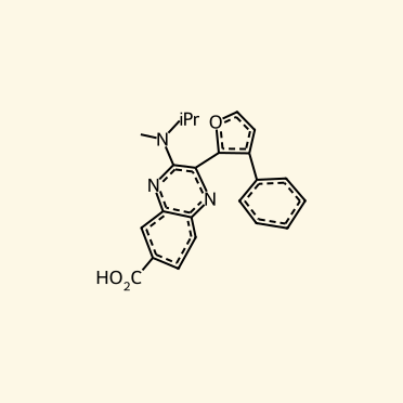 CC(C)N(C)c1nc2cc(C(=O)O)ccc2nc1-c1occc1-c1ccccc1